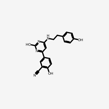 N#Cc1cc(-c2cc(NCCc3ccc(O)cc3)nc(O)n2)ccc1O